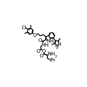 Cc1cc(OCCCc2c(C(=O)NCC(=O)OC(=O)[C@@H](N)CC(C)C)[nH]c3c(-c4c(C)nn(C)c4C)cccc23)cc(C)c1Cl